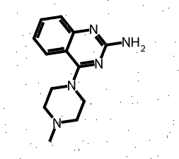 CN1CCN(c2nc(N)nc3ccccc23)CC1